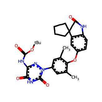 Cc1cc(-n2nc(NC(=O)OC(C)(C)C)c(=O)[nH]c2=O)cc(C)c1Oc1ccc2c(c1)C1(CCCC1)C(=O)N2